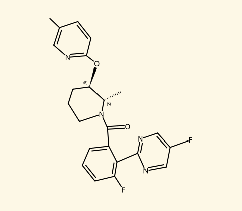 Cc1ccc(O[C@@H]2CCCN(C(=O)c3cccc(F)c3-c3ncc(F)cn3)[C@H]2C)nc1